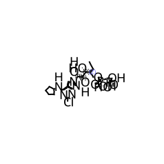 C/C=C(/COP(=O)(O)CP(=O)(O)O)[C@@H](O)[C@@H](O)[C@@H](O)n1cc2c(NC3CCCC3)nc(Cl)nc2n1